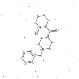 CCN1CCCCC1C(=O)N1CCN(Cc2ccccc2)CC1